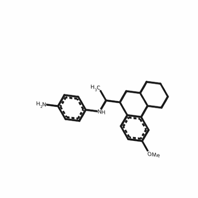 COc1ccc2c(c1)C1CCCCC1CC2C(C)Nc1ccc(N)cc1